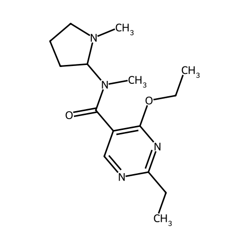 CCOc1nc(CC)ncc1C(=O)N(C)C1CCCN1C